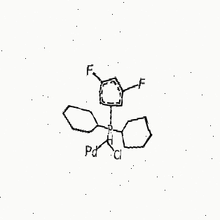 Fc1cc(F)cc([PH]([CH](Cl)[Pd])(C2CCCCC2)C2CCCCC2)c1